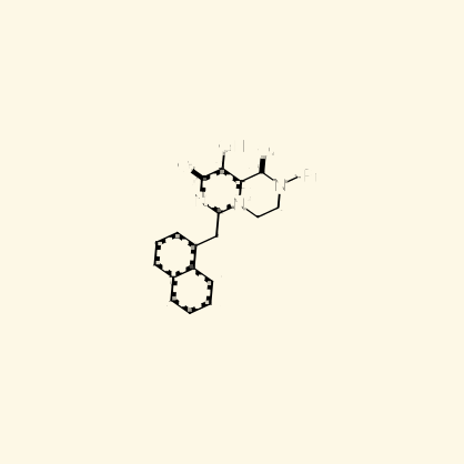 CC(C)N1CCn2c(Cc3cccc4ccccc34)nc(=O)c(O)c2C1=O